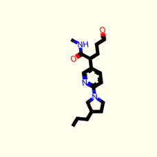 CCCC1CCN(c2ccc(C(CCC=O)C(=O)NC)cn2)C1